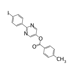 Cc1ccc(C(=O)Oc2cnc(-c3ccc(I)cc3)nc2)cc1